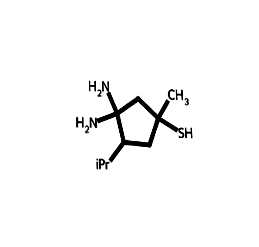 CC(C)C1CC(C)(S)CC1(N)N